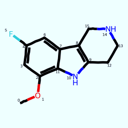 COc1cc(F)cc2c3c([nH]c12)CCNC3